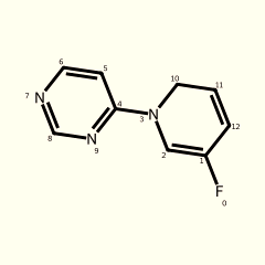 FC1=CN(c2ccncn2)CC=C1